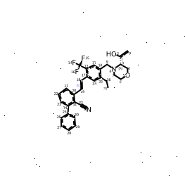 C=C(O)[C@@H]1COCCN1Cc1cc(C(F)(F)F)c(/C=C/c2cccc(-c3ccccc3)c2C#N)cc1CC